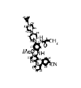 C=CC(=O)Nc1cc(Nc2cc(N3OCCC3c3cccc(C#N)c3)ncn2)c(OC)cc1N1CCC(N2CCN(C3CC3)CC2)CC1